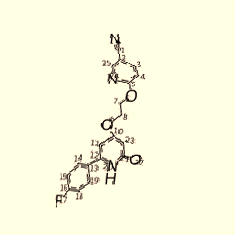 N#Cc1ccc(OCCOc2cc(-c3ccc(F)cc3)[nH]c(=O)c2)nc1